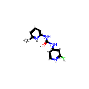 Cc1cccc(NC(=O)Nc2ccnc(Cl)c2)n1